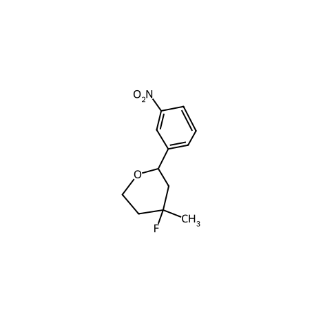 CC1(F)CCOC(c2cccc([N+](=O)[O-])c2)C1